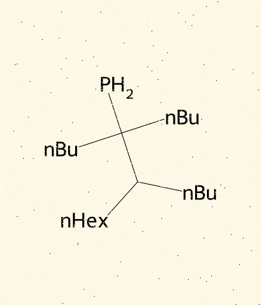 CCCCCCC(CCCC)C(P)(CCCC)CCCC